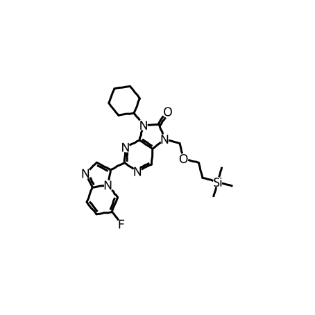 C[Si](C)(C)CCOCn1c(=O)n(C2CCCCC2)c2nc(-c3cnc4ccc(F)cn34)ncc21